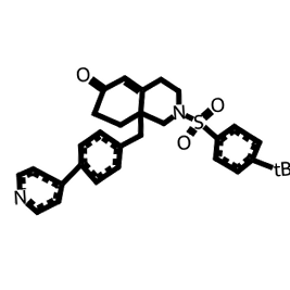 CC(C)(C)c1ccc(S(=O)(=O)N2CCC3=CC(=O)CCC3(Cc3ccc(-c4ccncc4)cc3)C2)cc1